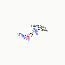 COc1cc(Nc2cncc(-c3ccc(NS(=O)(=O)c4ccc(N5CCOCC5)nc4)cc3)n2)cc(OC)c1OC